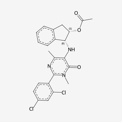 CC(=O)O[C@H]1Cc2ccccc2[C@H]1Nc1c(C)nc(-c2ccc(Cl)cc2Cl)n(C)c1=O